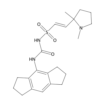 CN1CCCC1(C)C=CS(=O)(=O)NC(=O)Nc1c2c(cc3c1CCC3)CCC2